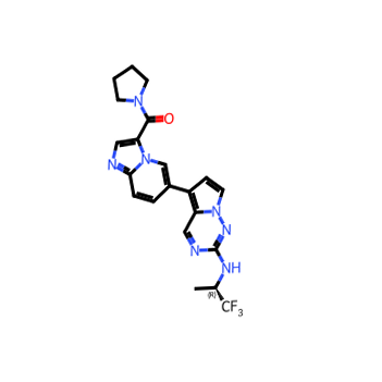 C[C@@H](Nc1ncc2c(-c3ccc4ncc(C(=O)N5CCCC5)n4c3)ccn2n1)C(F)(F)F